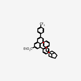 CCOC(=O)c1cc(-c2ccc(C3C4CCC3CN(Cc3ccccc3)C4)cc2)c2ccc(-c3ccc(C(F)(F)F)cc3)cc2c1